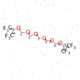 FC(F)(F)C(OCOCOCOCOCOC(C(F)(F)F)C(F)(F)F)C(F)(F)F